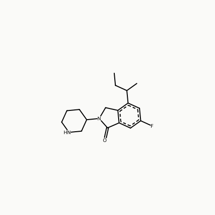 CCC(C)c1cc(F)cc2c1CN(C1CCCNC1)C2=O